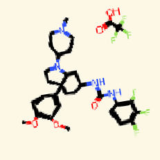 COc1ccc(C23CCC(NC(=O)Nc4ccc(F)c(F)c4F)CC2N(C2CCN(C)CC2)CC3)cc1OC.O=C(O)C(F)(F)F